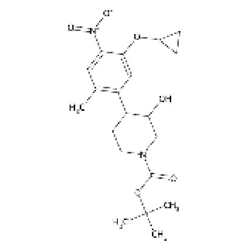 Cc1cc([N+](=O)[O-])c(OC2CC2)cc1C1CCN(C(=O)OC(C)(C)C)CC1O